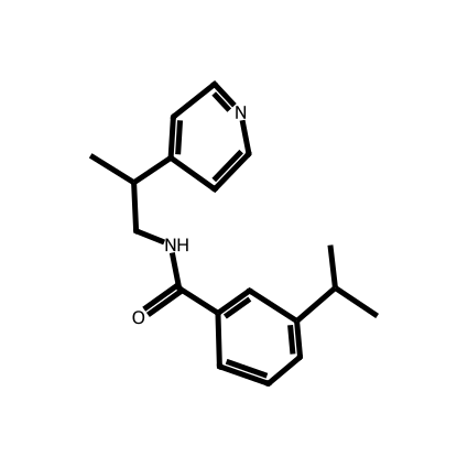 CC(C)c1cccc(C(=O)NCC(C)c2ccncc2)c1